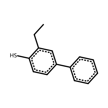 CCc1cc(-c2ccccc2)ccc1S